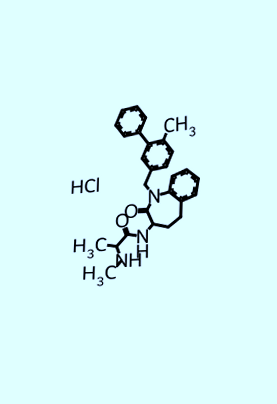 CNC(C)C(=O)NC1CCc2ccccc2N(Cc2ccc(C)c(-c3ccccc3)c2)C1=O.Cl